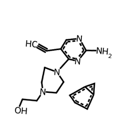 C#Cc1cnc(N)nc1N1CCN(CCO)CC1.c1cc2cc-2c1